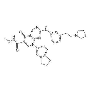 CONC(=O)c1cn(-c2ccc3c(c2)CCC3)c2nc(Nc3cccc(CCN4CCCC4)c3)ncc2c1=O